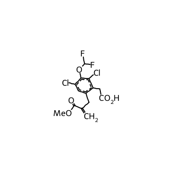 C=C(Cc1cc(Cl)c(OC(F)F)c(Cl)c1CC(=O)O)C(=O)OC